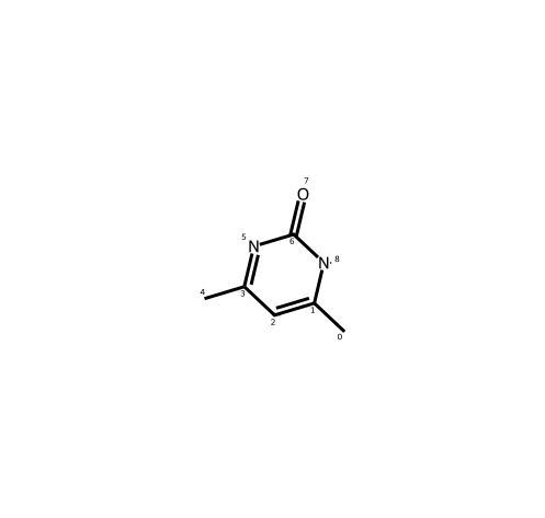 CC1=[C]C(C)=NC(=O)[N]1